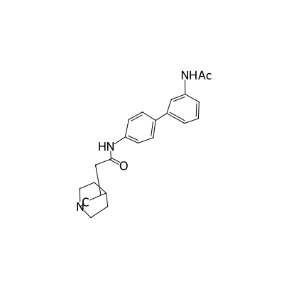 CC(=O)Nc1cccc(-c2ccc(NC(=O)CC3CN4CCC3CC4)cc2)c1